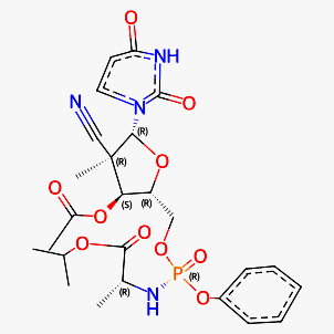 CC(=O)O[C@@H]1[C@@H](CO[P@](=O)(N[C@H](C)C(=O)OC(C)C)Oc2ccccc2)O[C@@H](n2ccc(=O)[nH]c2=O)[C@]1(C)C#N